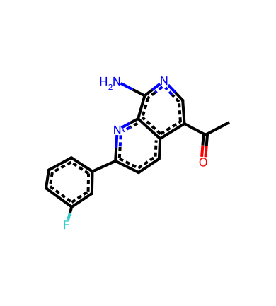 CC(=O)c1cnc(N)c2nc(-c3cccc(F)c3)ccc12